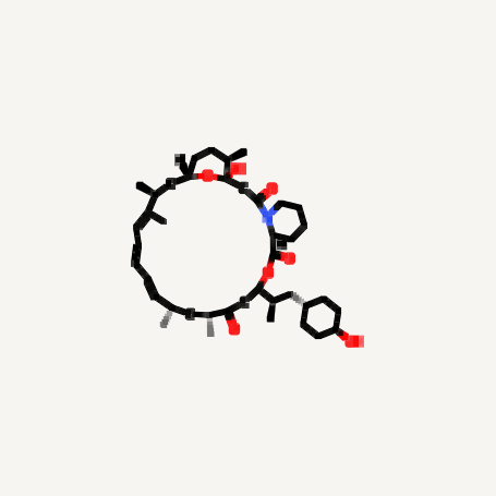 C\C1=C/C=C/C=C/[C@@H](C)C[C@@H](C)C(=O)CC([C@H](C)C[C@H]2CC[C@H](O)CC2)OC(=O)[C@@H]2CCCCN2C(=O)C[C@]2(O)O[C@@H](CC[C@H]2C)C[C@@H]1C